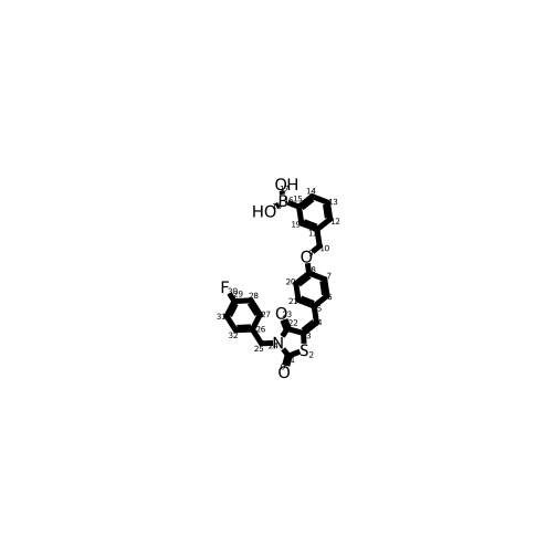 O=C1SC(=Cc2ccc(OCc3cccc(B(O)O)c3)cc2)C(=O)N1Cc1ccc(F)cc1